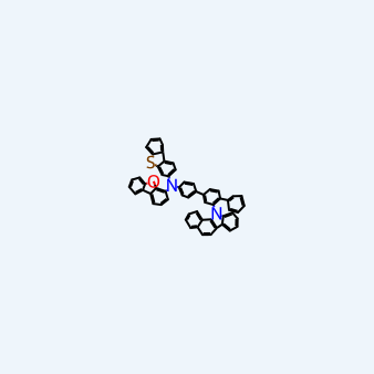 c1ccc(-c2ccc(-c3ccc(N(c4ccc5c(c4)sc4ccccc45)c4cccc5c4oc4ccccc45)cc3)cc2-n2c3ccccc3c3ccc4ccccc4c32)cc1